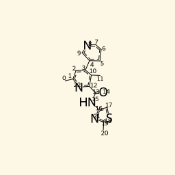 Cc1cc(-c2cccnc2)c(C)c(C(=O)Nc2csc(C)n2)n1